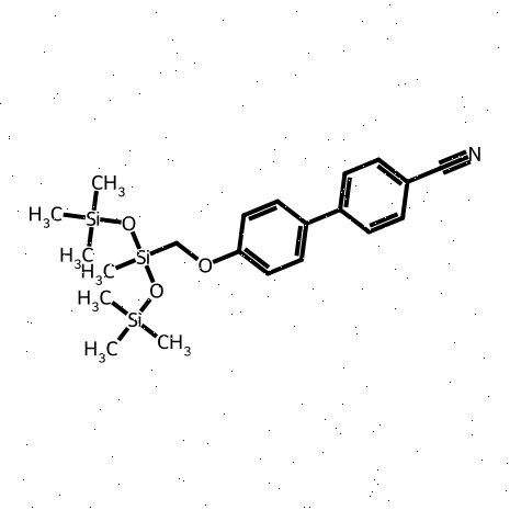 C[Si](C)(C)O[Si](C)(COc1ccc(-c2ccc(C#N)cc2)cc1)O[Si](C)(C)C